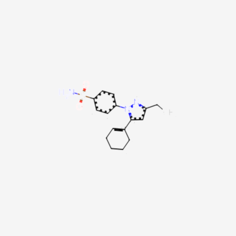 NS(=O)(=O)c1ccc(-n2nc(CC(F)(F)F)cc2C2=CCCCC2)cc1